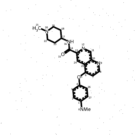 CNc1ccc(Oc2ccnc3cnc(C(=O)NC4CCN(C)CC4)cc23)cc1